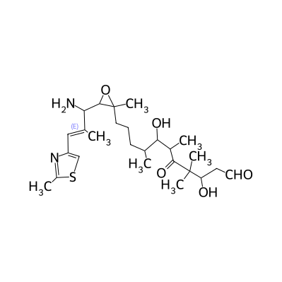 C/C(=C\c1csc(C)n1)C(N)C1OC1(C)CCCC(C)C(O)C(C)C(=O)C(C)(C)C(O)CC=O